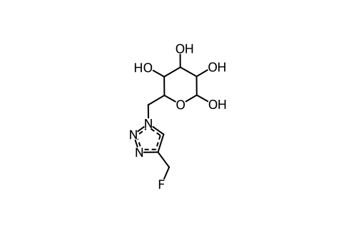 OC1OC(Cn2cc(CF)nn2)C(O)C(O)C1O